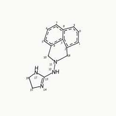 c1cc2c3c(cccc3c1)CN(NC1=NCCN1)C2